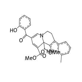 COC(=O)C1=CC(C(=O)c2ccccc2O)=CN2CCc3c([nH]c4c(C)cccc34)C12C(=O)OC